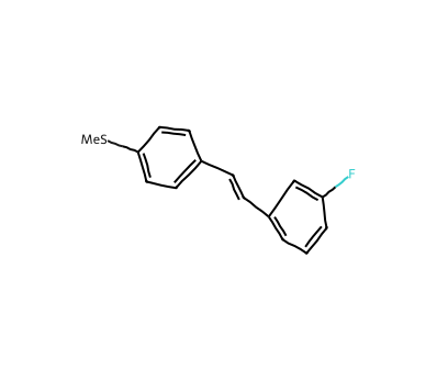 CSc1ccc(C=Cc2cccc(F)c2)cc1